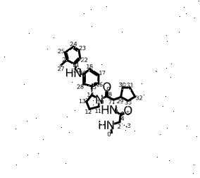 CN[C@@H](C)C(=O)N[C@H](C(=O)N1CCC[C@H]1c1cccc(Nc2ccccc2C)c1)C1CCCC1